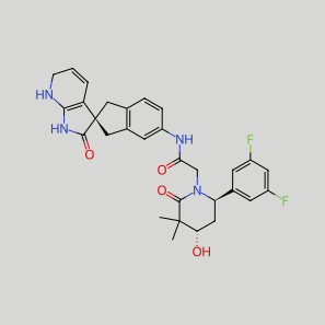 CC1(C)C(=O)N(CC(=O)Nc2ccc3c(c2)C[C@@]2(C3)C(=O)NC3=C2C=CCN3)[C@@H](c2cc(F)cc(F)c2)C[C@@H]1O